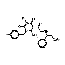 CCn1c(=O)c(C(=O)CNC(COC)c2ccccc2)c(N)n(Cc2ccc(F)cc2)c1=O